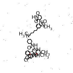 CN(CCCCCc1ccc2c(c1)n(C)c(=O)n2C1CCC(=O)NC1=O)C[C@H]1CC[C@H](NC(=O)[C@@H]2NC3(CCC(C)(C)CC3)[C@@]3(C(=O)Nc4cc(Cl)ccc43)[C@H]2c2cccc(Cl)c2F)CC1